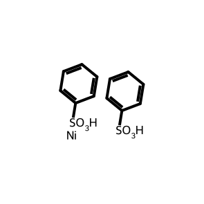 O=S(=O)(O)c1ccccc1.O=S(=O)(O)c1ccccc1.[Ni]